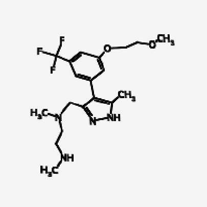 CNCCN(C)Cc1n[nH]c(C)c1-c1cc(OCCOC)cc(C(F)(F)F)c1